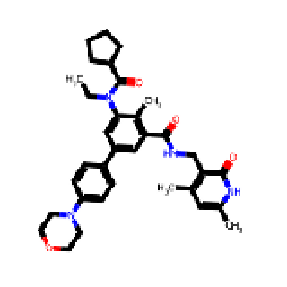 CCN(C(=O)C1CCCC1)c1cc(-c2ccc(N3CCOCC3)cc2)cc(C(=O)NCc2c(C)cc(C)[nH]c2=O)c1C